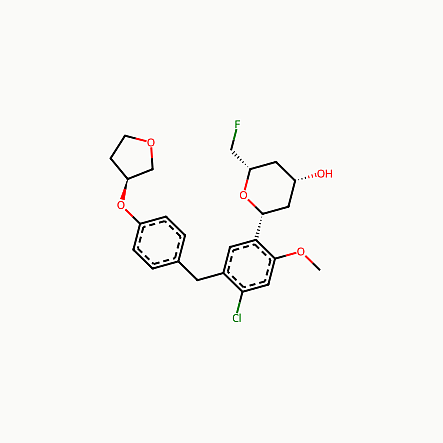 COc1cc(Cl)c(Cc2ccc(O[C@H]3CCOC3)cc2)cc1[C@H]1C[C@@H](O)C[C@@H](CF)O1